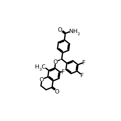 Cc1c(O[C@@H](c2ccc(C(N)=O)cc2)c2ccc(F)c(F)c2)c(F)cc2c1OCCC2=O